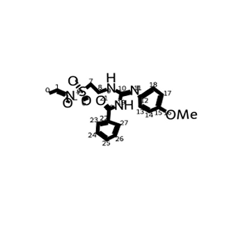 C/C=[N+](\[O-])S(=O)(=O)CCN/C(=N/c1ccc(OC)cc1)NC(=O)c1ccccc1